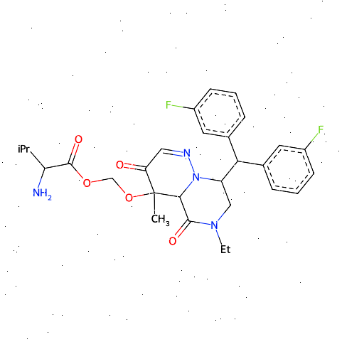 CCN1CC(C(c2cccc(F)c2)c2cccc(F)c2)N2N=CC(=O)C(C)(OCOC(=O)C(N)C(C)C)C2C1=O